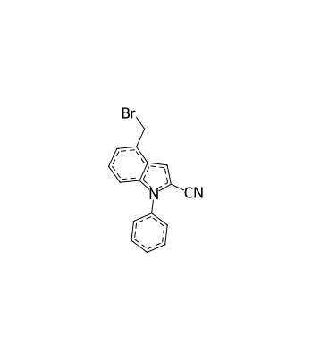 N#Cc1cc2c(CBr)cccc2n1-c1ccccc1